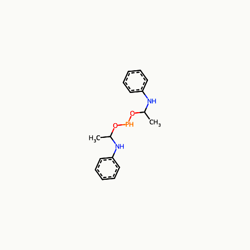 CC(Nc1ccccc1)OPOC(C)Nc1ccccc1